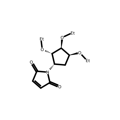 CCO[C@@H]1[C@@H](OCC)[C@@H](N2C(=O)C=CC2=O)C[C@@H]1OCC